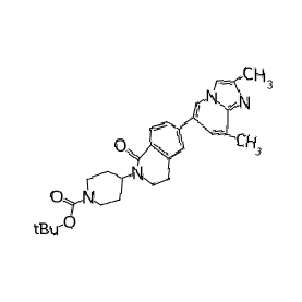 Cc1cn2cc(-c3ccc4c(c3)CCN(C3CCN(C(=O)OC(C)(C)C)CC3)C4=O)cc(C)c2n1